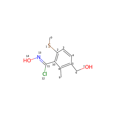 CSc1ccc(CO)c(C)c1C(Cl)=NO